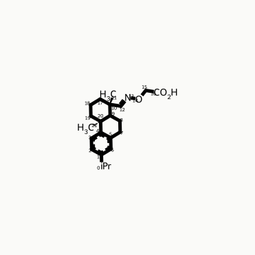 CC(C)c1ccc2c(c1)CCC1[C@@](C)(C=NOCC(=O)O)CCC[C@]21C